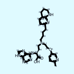 Cc1ccc(OCCN(CCCCc2ccc3c(n2)NCCC3)CC[C@H](Nc2ncnc3[nH]cnc23)C(=O)O)cn1